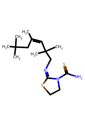 CC(=CC(C)(C)CN=C1SCCN1C(N)=S)CC(C)(C)C